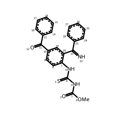 COC(=O)NC(=S)Nc1ccc(C(=O)c2ccccc2)cc1C(=N)c1ccccc1